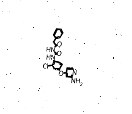 Nc1cc(Oc2ccc(NC(=O)NC(=O)Cc3ccccc3)c(Cl)c2)ccn1